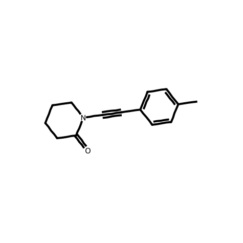 Cc1ccc(C#CN2CCCCC2=O)cc1